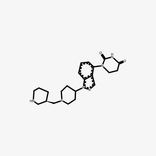 O=C1CCN(c2cccc3c2cnn3C2CCN(C[C@@H]3CCCNC3)CC2)C(=O)N1